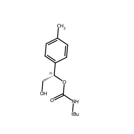 Cc1ccc([C@@H](CO)OC(=O)NC(C)(C)C)cc1